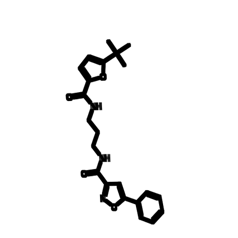 CC(C)(C)c1ccc(C(=O)NCCCNC(=O)c2cc(-c3ccccc3)on2)o1